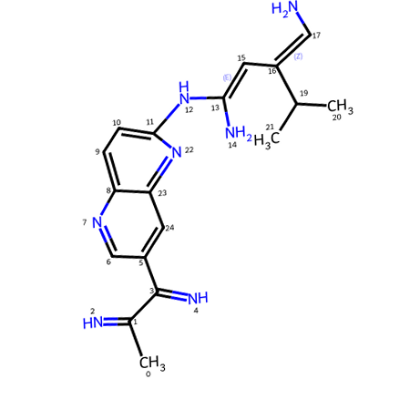 CC(=N)C(=N)c1cnc2ccc(N/C(N)=C/C(=C\N)C(C)C)nc2c1